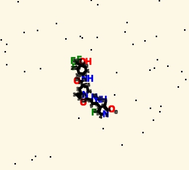 COc1ncc(F)c(-c2cc(C(=O)N3CC[C@@H](C(=O)NC4CCC(O)(C(F)(F)F)CC4)CC34CC4)n[nH]2)c1C